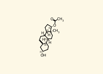 CC(=O)O[C@H]1CC[C@H]2[C@@H]3CC=C4C[C@@H](O)CC[C@@H]4[C@H]3CC[C@]12C